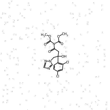 COC(=O)N(C(=O)CC(O)(Cn1cncn1)c1ccc(Cl)cc1Cl)C(=O)OC